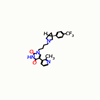 Cc1ncccc1-c1cn(CCCCN2C[C@@H]3C[C@]3(c3ccc(C(F)(F)F)cc3)C2)c(=O)[nH]c1=O